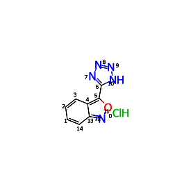 Cl.c1ccc2c(-c3nnn[nH]3)onc2c1